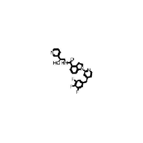 O=C(NC[C@@H](O)c1cccnc1)c1cccc2c1CCN2c1cc(Cc2cc(F)c(F)c(F)c2)ccn1